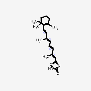 CC1=C(/C=C/C(C)=C/C=C/C(C)=C/c2nc(=O)[nH]o2)C(C)(C)CCC1